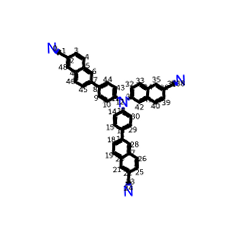 N#Cc1ccc2cc(-c3ccc(N(c4ccc(-c5ccc6cc(C#N)ccc6c5)cc4)c4ccc5cc(C#N)ccc5c4)cc3)ccc2c1